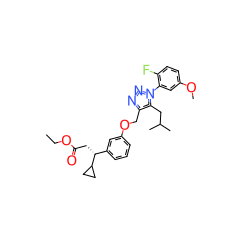 CCOC(=O)C[C@H](c1cccc(OCc2nnn(-c3cc(OC)ccc3F)c2CC(C)C)c1)C1CC1